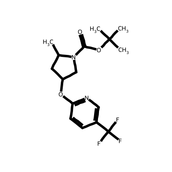 CC1CC(Oc2ccc(C(F)(F)F)cn2)CN1C(=O)OC(C)(C)C